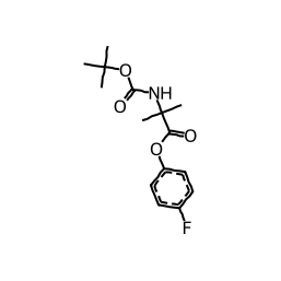 CC(C)(C)OC(=O)NC(C)(C)C(=O)Oc1ccc(F)cc1